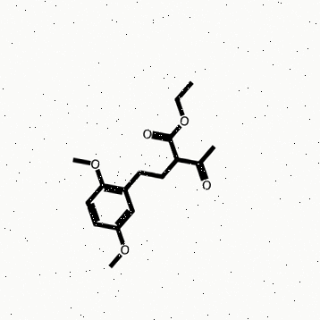 CCOC(=O)C(CCc1cc(OC)ccc1OC)C(C)=O